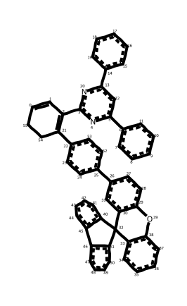 C1=CC(c2nc(-c3ccccc3)cc(-c3ccccc3)n2)=C(c2ccc(-c3ccc4c(c3)C3(c5ccccc5O4)c4ccccc4-c4ccccc43)cc2)CC1